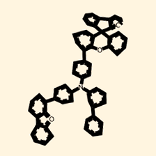 c1ccc(-c2cccc(N(c3ccc(-c4cccc5c4Oc4ccccc4C54c5ccccc5-c5ccccc54)cc3)c3ccc(-c4cccc5c4oc4ccccc45)cc3)c2)cc1